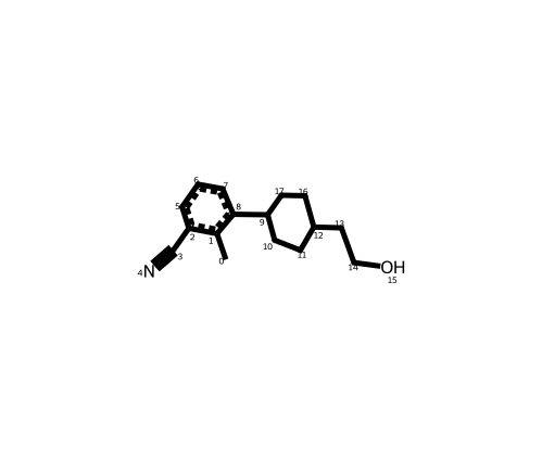 Cc1c(C#N)cccc1C1CCC(CCO)CC1